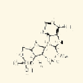 CO[C@@H]1[C@H](N2c3ncnc(N)c3NC2SC)OC2CO[PH](O)(O)O[C@@H]21